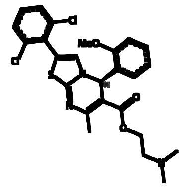 COc1ccccc1[C@H]1C(C(=O)OCCN(C)C)=C(C)N=C2SC(c3c(Cl)cccc3Cl)=CN21